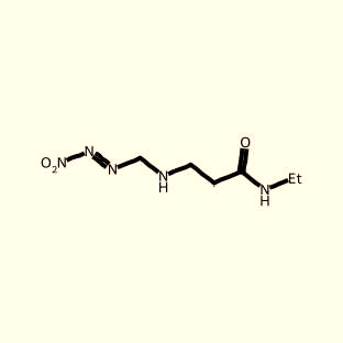 CCNC(=O)[CH]CNC/N=N/[N+](=O)[O-]